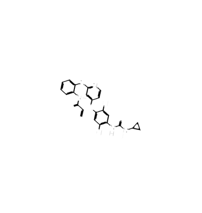 C=CC(=O)Nc1ccccc1Nc1cc(Oc2cc(Cl)c(NC(=O)NC3CC3)cc2Cl)ccn1